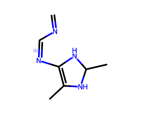 C=N/C=N\C1=C(C)NC(C)N1